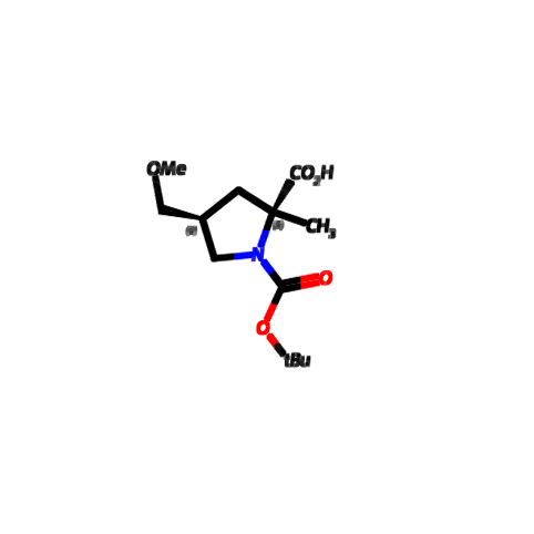 COC[C@@H]1CN(C(=O)OC(C)(C)C)[C@](C)(C(=O)O)C1